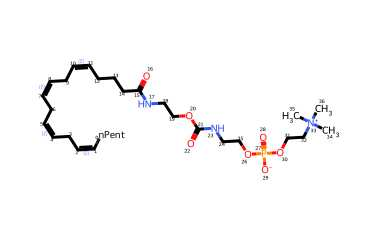 CCCCC/C=C\C/C=C\C/C=C\C/C=C\CCCC(=O)NCCOC(=O)NCCOP(=O)([O-])OCC[N+](C)(C)C